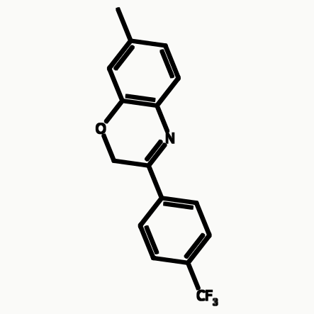 Cc1ccc2c(c1)OCC(c1ccc(C(F)(F)F)cc1)=N2